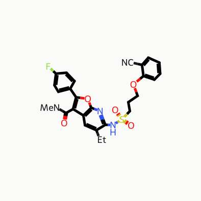 CCc1cc2c(C(=O)NC)c(-c3ccc(F)cc3)oc2nc1NS(=O)(=O)CCCOc1ccccc1C#N